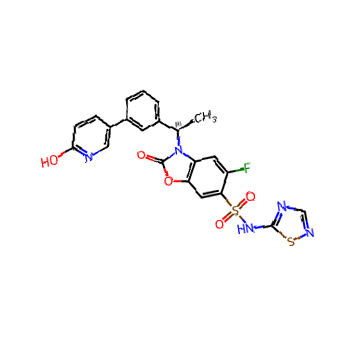 C[C@H](c1cccc(-c2ccc(O)nc2)c1)n1c(=O)oc2cc(S(=O)(=O)Nc3ncns3)c(F)cc21